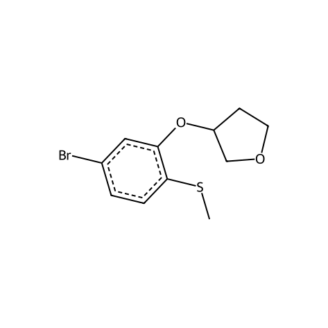 CSc1ccc(Br)cc1OC1CCOC1